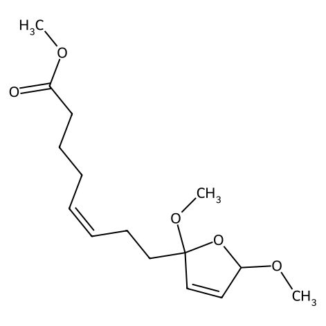 COC(=O)CCC/C=C\CCC1(OC)C=CC(OC)O1